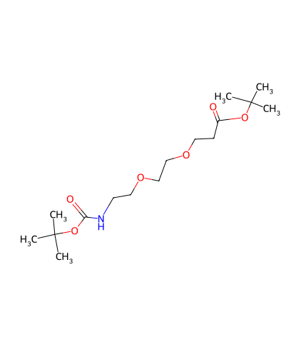 CC(C)(C)OC(=O)CCOCCOCCNC(=O)OC(C)(C)C